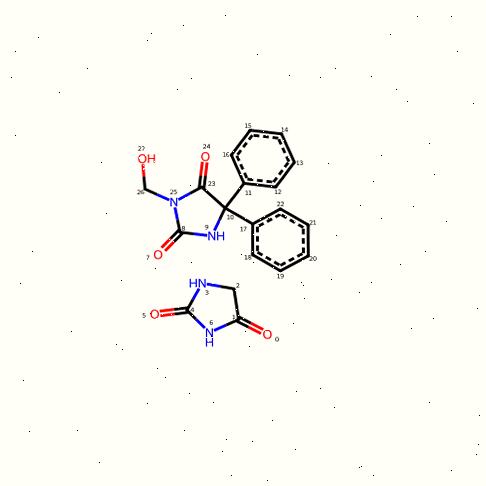 O=C1CNC(=O)N1.O=C1NC(c2ccccc2)(c2ccccc2)C(=O)N1CO